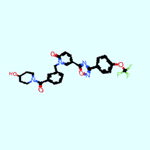 O=C(c1cccc(Cn2cc(-c3nc(-c4ccc(OC(F)(F)F)cc4)no3)ccc2=O)c1)N1CCC(O)CC1